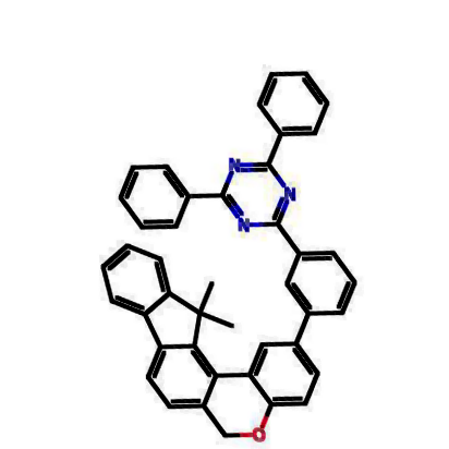 CC1(C)c2ccccc2-c2ccc3c(c21)-c1cc(-c2cccc(-c4nc(-c5ccccc5)nc(-c5ccccc5)n4)c2)ccc1OC3